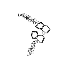 C1=COc2ccccc2C1.C1=COc2ccccc2C1.[La+3].[La+3].[Ni+2].[Ni+2].[O-2].[O-2].[O-2].[O-2].[O-2].[O-2].[O-2].[Sr+2].[Sr+2]